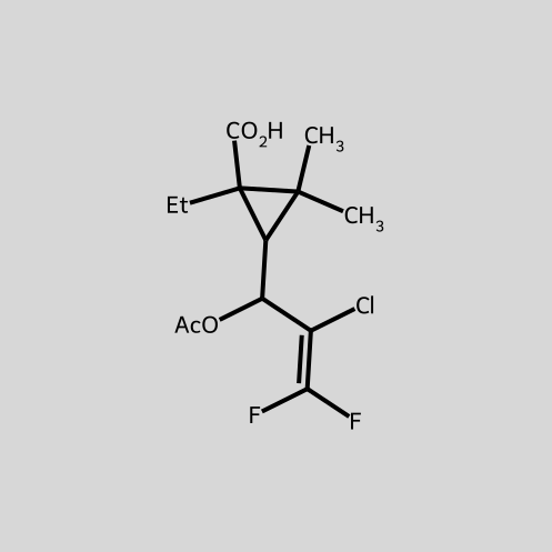 CCC1(C(=O)O)C(C(OC(C)=O)C(Cl)=C(F)F)C1(C)C